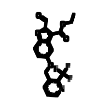 CCOC(=O)c1c(C=O)oc2ccc(OCc3cccnc3C(F)(F)F)cc12